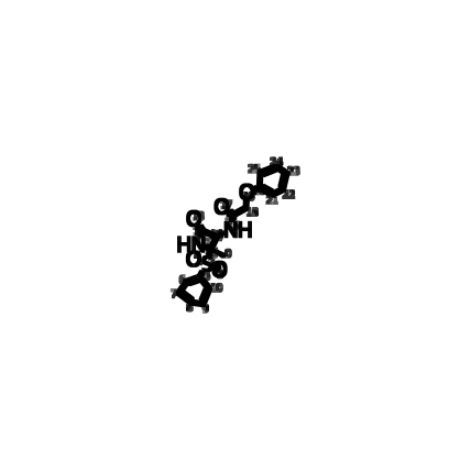 C[C@@]1(S(=O)(=O)c2ccccc2)NC(=O)[C@H]1NC(=O)COc1ccccc1